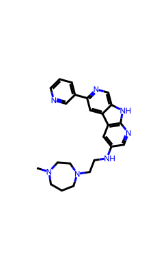 CN1CCCN(CCNc2cnc3[nH]c4cnc(-c5cccnc5)cc4c3c2)CC1